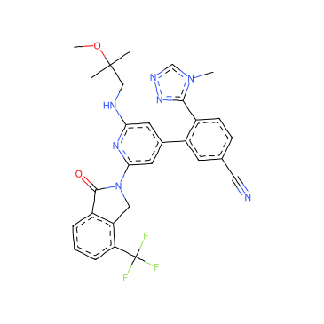 COC(C)(C)CNc1cc(-c2cc(C#N)ccc2-c2nncn2C)cc(N2Cc3c(cccc3C(F)(F)F)C2=O)n1